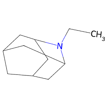 CCN1C2CC3CC(C2)CC1C3